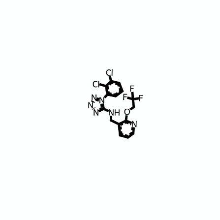 FC(F)(F)COc1ncccc1CNc1nnnn1-c1cccc(Cl)c1Cl